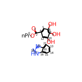 CCCOC(=O)c1cc(O)c(O)c(O)c1.c1ccc2[nH]nnc2c1